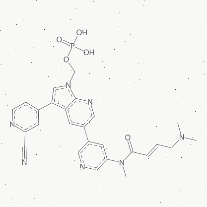 CN(C)CC=CC(=O)N(C)c1cncc(-c2cnc3c(c2)c(-c2ccnc(C#N)c2)cn3COP(=O)(O)O)c1